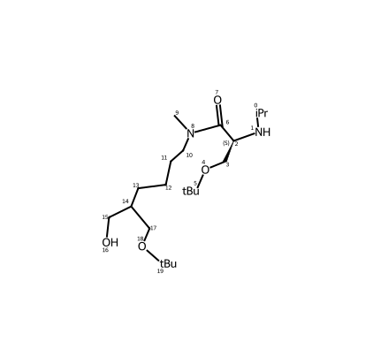 CC(C)N[C@@H](COC(C)(C)C)C(=O)N(C)CCCCC(CO)COC(C)(C)C